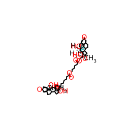 C[C@@H]1CC2C3CCC4=CC(=O)C=C[C@]4(C)[C@@]3(F)[C@@H](O)C[C@]2(C)[C@@]1(O)C(=O)COC(=O)CCCCCOC(=O)CCCC[CH]CC(=O)[C@@]1(O)CCC2C3CCC4=CC(=O)C=C[C@]4(C)C3[C@@H](O)C[C@@]21C